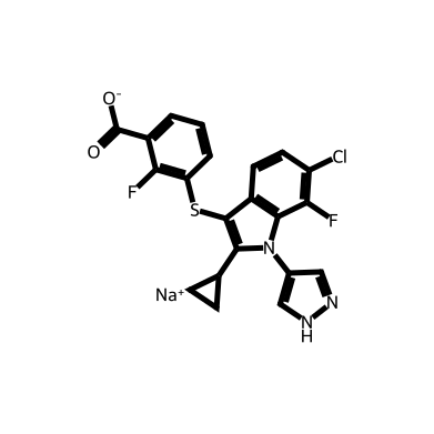 O=C([O-])c1cccc(Sc2c(C3CC3)n(-c3cn[nH]c3)c3c(F)c(Cl)ccc23)c1F.[Na+]